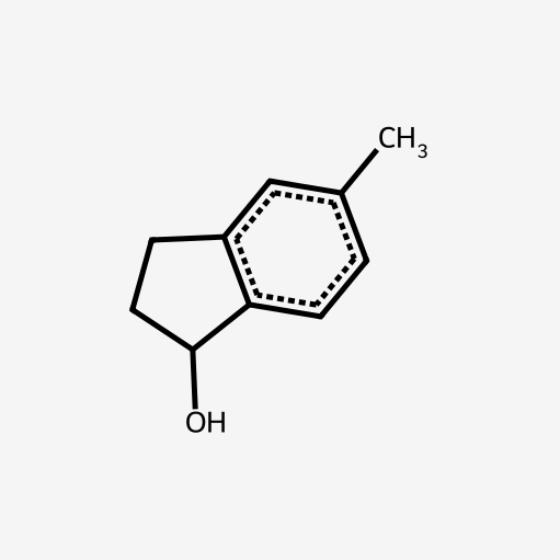 Cc1ccc2c(c1)CCC2O